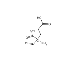 N[C@@](C=O)(CCC(=O)O)C(=O)O